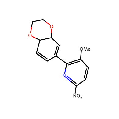 COc1ccc([N+](=O)[O-])nc1C1=CC2OC[C]OC2C=C1